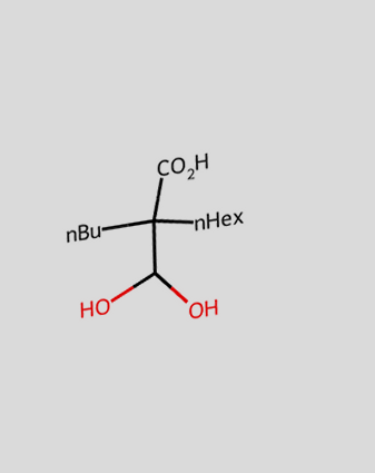 CCCCCCC(CCCC)(C(=O)O)C(O)O